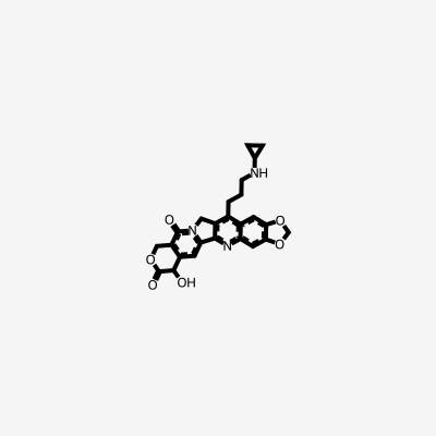 O=C1OCc2c(cc3n(c2=O)Cc2c-3nc3cc4c(cc3c2CCCNC2CC2)OCO4)C1O